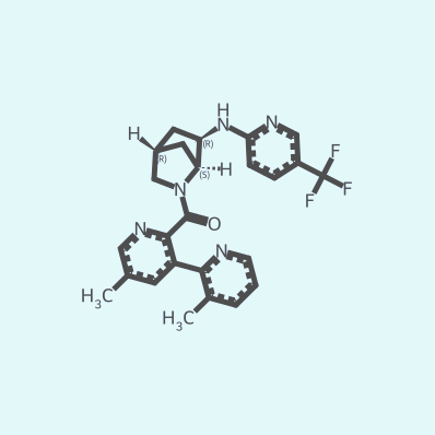 Cc1cnc(C(=O)N2C[C@@H]3C[C@@H](Nc4ccc(C(F)(F)F)cn4)[C@@H]2C3)c(-c2ncccc2C)c1